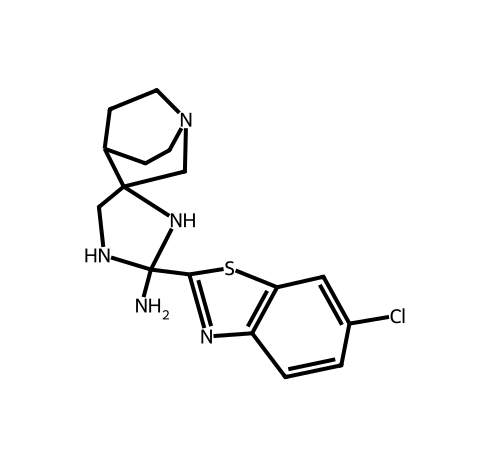 NC1(c2nc3ccc(Cl)cc3s2)NCC2(CN3CCC2CC3)N1